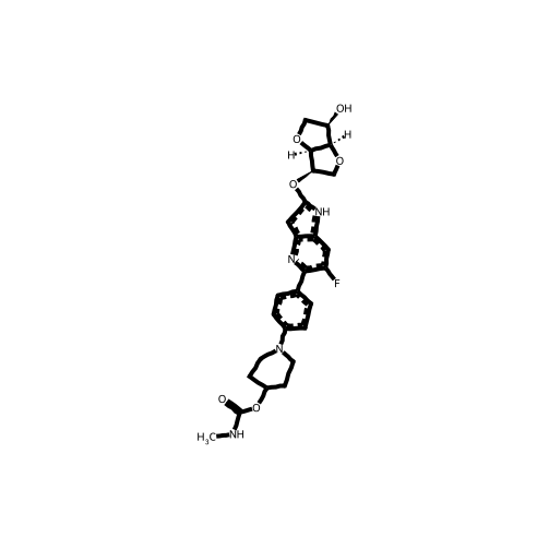 CNC(=O)OC1CCN(c2ccc(-c3nc4cc(O[C@@H]5CO[C@H]6[C@@H]5OC[C@H]6O)[nH]c4cc3F)cc2)CC1